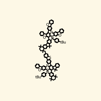 CC(C)(C)c1ccc(N2B3c4cc5oc6ccccc6c5cc4-n4c5cc6c(cc5c5c7c(c(c3c54)-c3cc4c(cc32)C(C)(C)CCC4(C)C)C(C)(C)c2ccccc2-7)sc2cc(CC3(C)CCC(C)(C)c4cc5c(cc43)C(C)(C)c3cc4c(cc3-5)-c3c5c7c(c8cc9oc%10ccccc%10c9cc8n7-c7cc8c(cc7B5N4c4ccc(C(C)(C)C)cc4)oc4ccccc48)c4c3oc3ccccc34)ccc26)cc1